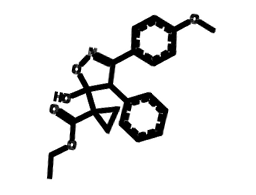 CCOC(=O)C1(C2(O)ON=C(c3ccc(OC)cc3)C2c2ccccc2)CC1